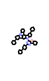 c1ccc(-c2ccc(-c3nc(-n4c5ccc(-c6ccccc6)cc5c5c6c7ccccc7n7c8ccc(-c9ccccc9)cc8c(cc54)c67)c4oc5ccccc5c4n3)cc2)cc1